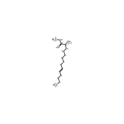 CCCC/C=C/CCCCCCC(C)C(=O)OC